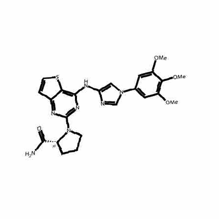 COc1cc(-n2cnc(Nc3nc(N4CCC[C@@H]4C(N)=O)nc4ccsc34)c2)cc(OC)c1OC